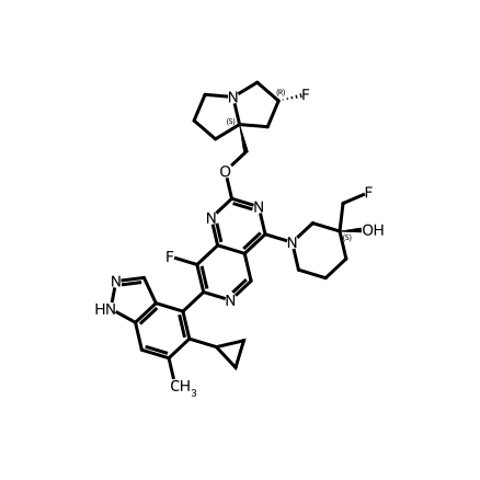 Cc1cc2[nH]ncc2c(-c2ncc3c(N4CCC[C@@](O)(CF)C4)nc(OC[C@@]45CCCN4C[C@H](F)C5)nc3c2F)c1C1CC1